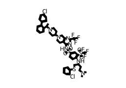 CC(c1ccccc1-c1ccc(Cl)cc1)N1CCC(N2CCc3c(nc(C(F)(F)F)nc3NS(=O)(=O)c3ccc(NC(CCN(C)C)CSc4ccccc4Cl)c(S(=O)(=O)C(F)(F)F)c3)C2)CC1